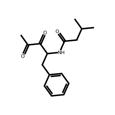 CC(=O)C(=O)C(Cc1ccccc1)NC(=O)[CH]C(C)C